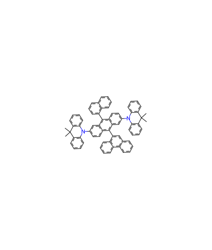 CC1(C)c2ccccc2N(c2ccc3c(-c4cc5ccccc5c5ccccc45)c4cc(N5c6ccccc6C(C)(C)c6ccccc65)ccc4c(-c4cccc5ccccc45)c3c2)c2ccccc21